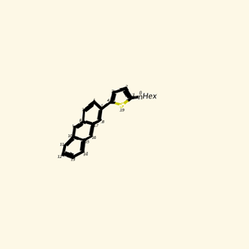 CCCCCCc1ccc(-c2ccc3cc4ccccc4cc3c2)s1